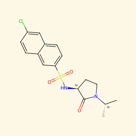 [CH2][C@@H](C)N1CC[C@H](NS(=O)(=O)c2ccc3cc(Cl)ccc3c2)C1=O